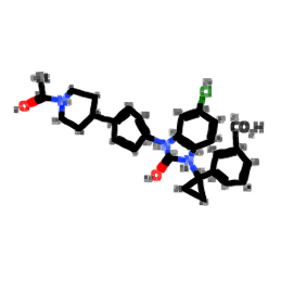 CCC(=O)N1CCC(c2ccc(-n3c(=O)n(C4(c5cccc(C(=O)O)c5)CC4)c4ccc(Cl)cc43)cc2)CC1